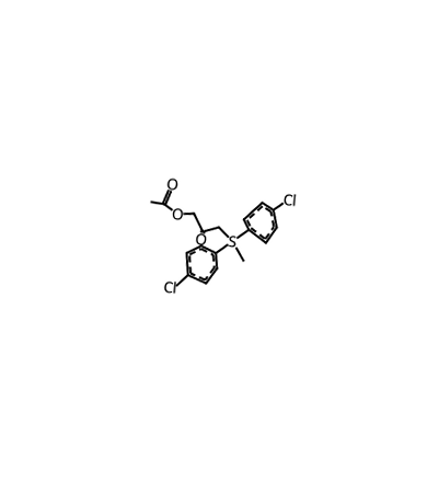 CC(=O)OCC(=O)CS(C)(c1ccc(Cl)cc1)c1ccc(Cl)cc1